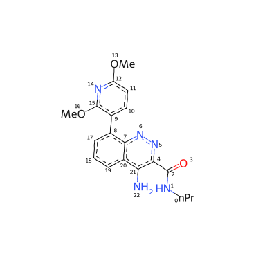 CCCNC(=O)c1nnc2c(-c3ccc(OC)nc3OC)cccc2c1N